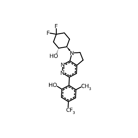 Cc1cc(C(F)(F)F)cc(O)c1-c1cc2c(nn1)N([C@@H]1CCC(F)(F)C[C@H]1O)CC2